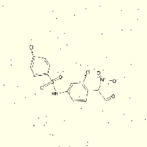 O=CC(c1ccc(NS(=O)(=O)c2ccc(Cl)cc2)cc1Cl)[N+](=O)[O-]